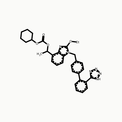 CCOc1nc2c(C(C)OC(=O)OC3CCCCC3)cccc2n1Cc1ccc(-c2ccccc2-c2nnn[nH]2)cc1